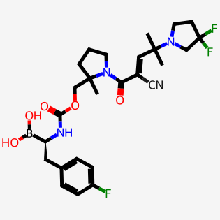 CC(C)(C=C(C#N)C(=O)N1CCCC1(C)COC(=O)N[C@@H](Cc1ccc(F)cc1)B(O)O)N1CCC(F)(F)C1